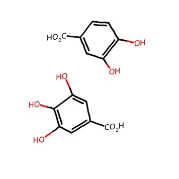 O=C(O)c1cc(O)c(O)c(O)c1.O=C(O)c1ccc(O)c(O)c1